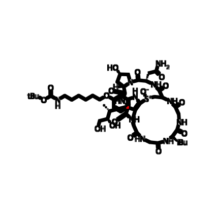 CC[C@H](C)C1NC(=O)CNC(=O)C2Cc3c([nH]c4cc(OCCCCCCNC(=O)OC(C)(C)C)ccc34)[S+]([O-])CC(NC(=O)CNC1=O)C(=O)N[C@@H](CC(N)=O)C(=O)N1C[C@H](O)C[C@H]1C(=O)N[C@@H]([C@@H](C)[C@@H](O)CO)C(=O)N2